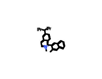 Cc1cc2ccccc2cc1-c1c2ccc(C(C(C)C)C(C)C)cc2cc[n+]1C